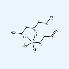 C=CCOP(O)(O)(Cl)Cl.OCCOCCO